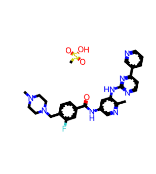 CS(=O)(=O)O.Cc1ncc(NC(=O)c2ccc(CN3CCN(C)CC3)c(F)c2)cc1Nc1nccc(-c2cccnc2)n1